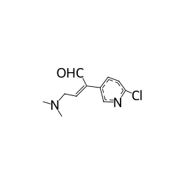 CN(C)CC=C(C=O)c1ccc(Cl)nc1